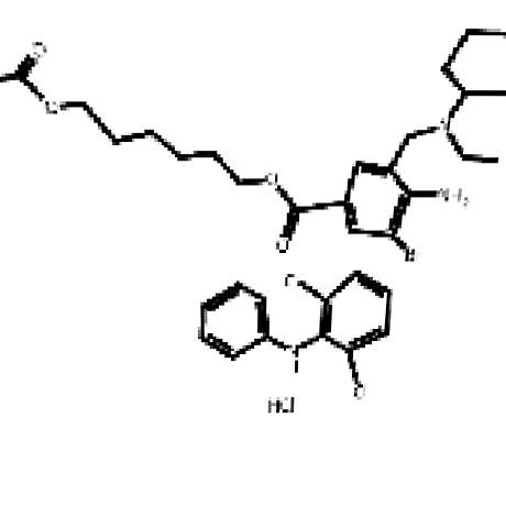 CCN(Cc1cc(C(=O)OCCCCCCOC(C)=O)cc(Br)c1N)C1CCCCC1.Cl.Clc1cccc(Cl)c1Nc1ccccc1